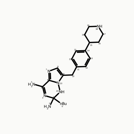 CCCCC1(N)N=C(N)c2ncc(Cc3ccc(C4CCNCC4)cc3)n2N1